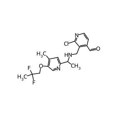 Cc1cc(C(C)NCc2c(C=O)ccnc2Cl)ncc1OCC(C)(F)F